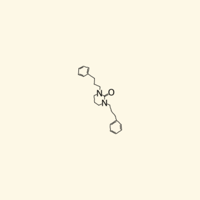 O=C1N(CCCc2ccccc2)CCCN1CCCc1ccccc1